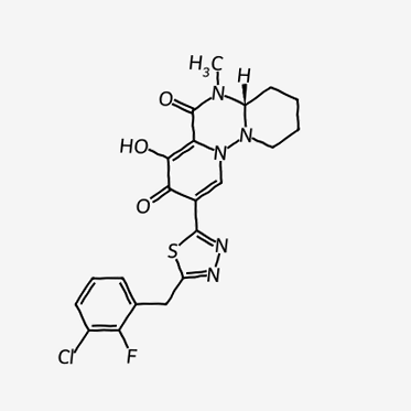 CN1C(=O)c2c(O)c(=O)c(-c3nnc(Cc4cccc(Cl)c4F)s3)cn2N2CCCC[C@@H]12